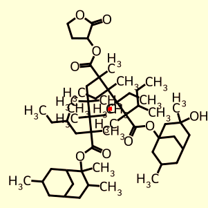 CCC(C)CC(C)(C(=O)OC1(C)C(C)CC2CC(C)CC1C2)C(C)(CC)C(C)(C)CC(C)(C(=O)OC1CCOC1=O)C(C)(CC)C(C)(CC)C(C)(C(=O)OC12CC(C)CC(CC(C)(O)C1)C2)C(C)CC